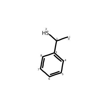 [CH]C(S)c1ccccc1